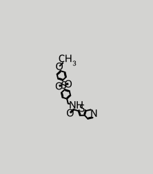 CCOc1ccc(S(=O)(=O)c2ccc(CNC(=O)c3cc4ccncc4s3)cc2)cc1